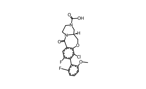 COc1cccc(F)c1-c1c(F)cc2c(c1Cl)OC[C@H]1CN(C(=O)O)CCN1C2=O